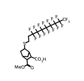 COC(=O)C1C2CC(SCCC(F)(F)C(F)(F)C(F)(F)C(F)(F)C(F)(F)C(F)(F)C(F)(F)C(F)(F)F)C(C2)C1C(=O)O